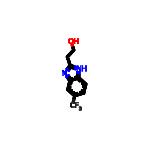 OCCc1nc2cc(C(F)(F)F)ccc2[nH]1